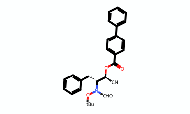 CC(C)(C)ON(C=O)[C@H](Cc1ccccc1)[C@H](C#N)OC(=O)c1ccc(-c2ccccc2)cc1